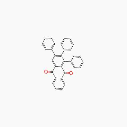 O=C1c2ccccc2C(=O)c2c1cc(-c1ccccc1)c(-c1ccccc1)c2-c1ccccc1